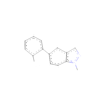 Cn1ncc2cc(-c3ccccc3C(=O)O)ccc21